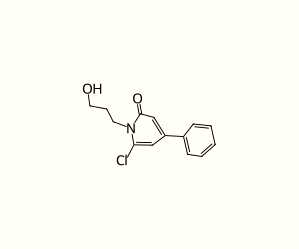 O=c1cc(-c2ccccc2)cc(Cl)n1CCCO